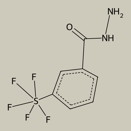 NNC(=O)c1cccc(S(F)(F)(F)(F)F)c1